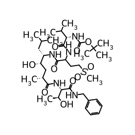 CC(C)C[C@H](NC(=O)C(CCS(C)(=O)=O)NC(=O)[C@@H](NC(=O)OC(C)(C)C)C(C)C)[C@@H](O)C[C@@H](C)C(=O)N[C@H](C(=O)NCc1ccccc1)[C@H](C)O